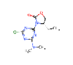 CC[C@H]1COC(=O)N1c1nc(Cl)nc(N(C)C)n1